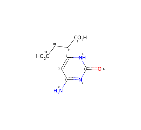 Nc1cc[nH]c(=O)n1.O=C(O)CCC(=O)O